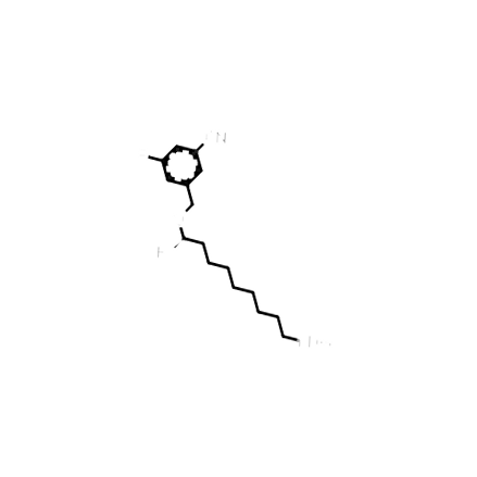 CCCCCCCCCCCCCCCCCC[C@@H](CC)OCc1cc(F)cc(C#N)c1